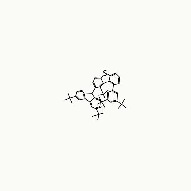 CC(C)(C)c1cc(-c2cccc3sc4ccc(C5c6ccc(C(C)(C)C)cc6-c6cc(C(C)(C)C)ccc65)c(C(C)(C)C)c4c23)cc(C(C)(C)C)c1